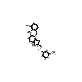 Fc1cccc(F)c1Nc1ccc2[nH]c(CSc3ccnc(C(F)(F)F)c3)nc2c1